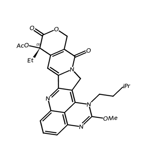 CC[C@@]1(OC(C)=O)C(=O)OCc2c1cc1n(c2=O)Cc2c-1nc1cccc3c1c2N(CCC(C)C)C(OC)=N3